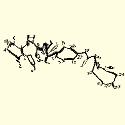 COc1ccncc1Nc1nc(-c2ccc(CCCN3CCC(C)CC3)cc2)cs1